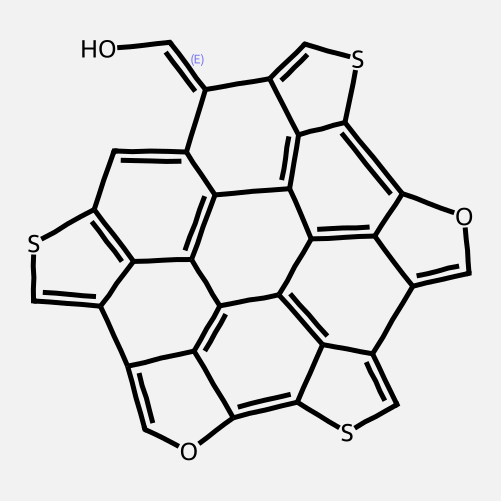 O/C=c1/c2csc3c4occ5c6csc7c8occ9c%10csc%11cc1c1c(c%11%10)c(c98)c(c67)c(c54)c1c23